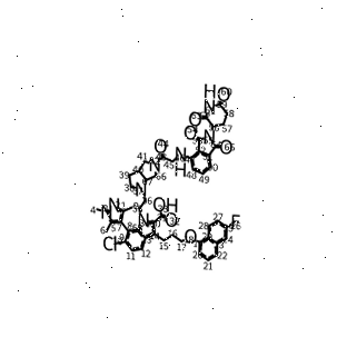 Cc1nn(C)c(C)c1-c1c(Cl)ccc2c(CCCOc3cccc4cc(F)ccc34)c(C(=O)O)n(CCN3CCC4CN(C(=O)CNc5cccc6c5C(=O)N(C5CCC(=O)NC5=O)C6=O)CC43)c12